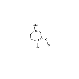 CCOC1=C(C(C)=O)CCC(C(C)(C)C)=C1